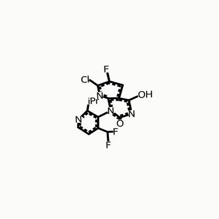 CC(C)c1nccc(C(F)F)c1-n1c(=O)nc(O)c2cc(F)c(Cl)nc21